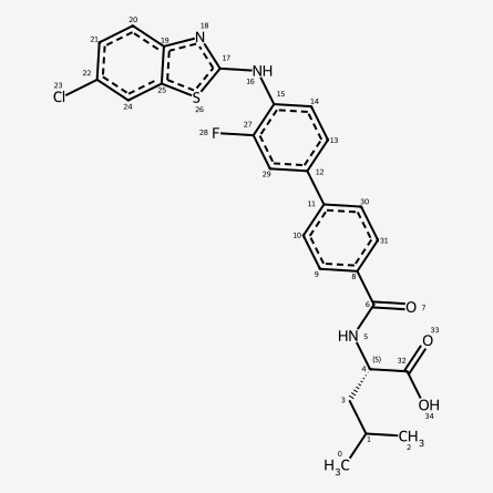 CC(C)C[C@H](NC(=O)c1ccc(-c2ccc(Nc3nc4ccc(Cl)cc4s3)c(F)c2)cc1)C(=O)O